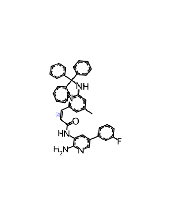 Cc1cc(/C=C\C(=O)Nc2cc(-c3cccc(F)c3)cnc2N)nc(NC(c2ccccc2)(c2ccccc2)c2ccccc2)c1